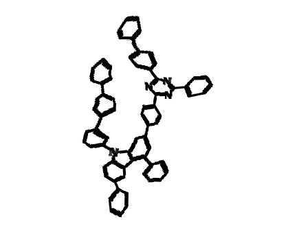 c1ccc(-c2ccc(-c3cccc(-n4c5ccc(-c6ccccc6)cc5c5c(-c6ccccc6)cc(-c6ccc(-c7nc(-c8ccccc8)nc(-c8ccc(-c9ccccc9)cc8)n7)cc6)cc54)c3)cc2)cc1